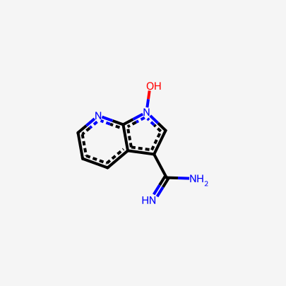 N=C(N)c1cn(O)c2ncccc12